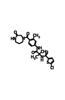 Cc1cc(NC(=O)C(C)(C)NC(=O)c2ccc(Cl)s2)ccc1C(=O)N1CCCNC(=O)C1